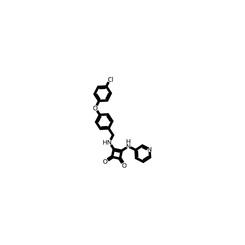 O=c1c(NCc2ccc(Oc3ccc(Cl)cc3)cc2)c(Nc2cccnc2)c1=O